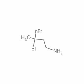 CCCC(C)(CC)CCN